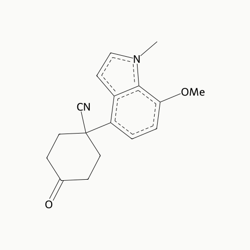 COc1ccc(C2(C#N)CCC(=O)CC2)c2ccn(C)c12